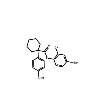 CCCCCCCCCc1ccc(OC(=O)C2(c3ccc(CCCCCCCC)cc3)CCCCC2)c(C#N)c1